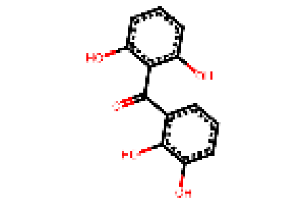 O=C(c1cccc(O)c1O)c1c(O)cccc1O